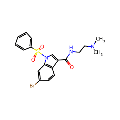 CN(C)CCNC(=O)c1cn(S(=O)(=O)c2ccccc2)c2cc(Br)ccc12